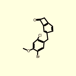 COc1cc(Cl)c(Cc2ccc3c(c2)C(=O)C3)cc1Br